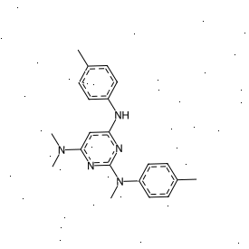 Cc1ccc(Nc2cc(N(C)C)nc(N(C)c3ccc(C)cc3)n2)cc1